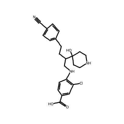 N#Cc1ccc(CCC(CNc2ccc(C(=O)O)cc2Cl)C2(O)CCNCC2)cc1